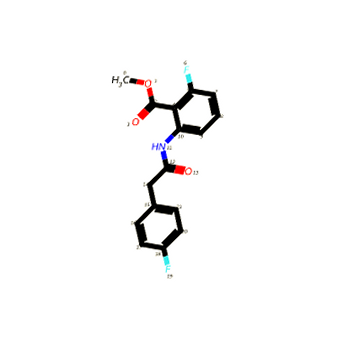 COC(=O)c1c(F)cccc1NC(=O)Cc1ccc(F)cc1